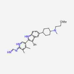 COCCN(C)C1CCC(c2ccc3[nH]c(-c4c[nH]/c(=N\C=N)c(C)c4C)c(C(C)C)c3c2)CC1